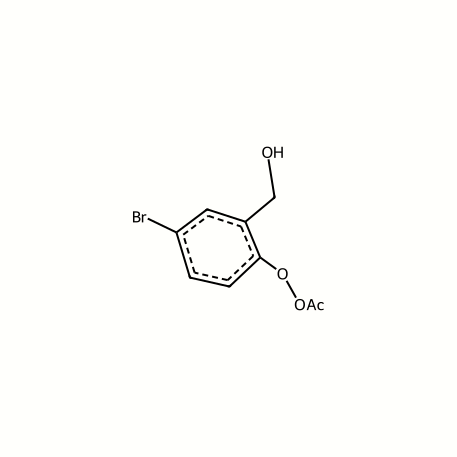 CC(=O)OOc1ccc(Br)cc1CO